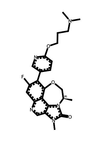 C[C@@H]1COc2c(-c3ccc(OCCCN(C)C)nc3)c(F)cc3ncc4c(c23)n1c(=O)n4C